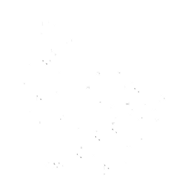 COc1cc(CN2CCN(C(=O)OC(C)(C)C)CC2)ccc1Nc1ncc2ccc(-c3ccccc3N(C)S(C)(=O)=O)n2n1